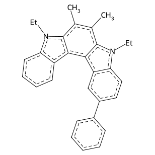 CCn1c2ccccc2c2c3c4cc(-c5ccccc5)ccc4n(CC)c3c(C)c(C)c21